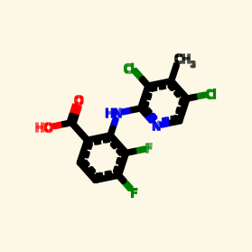 Cc1c(Cl)cnc(Nc2c(C(=O)O)ccc(F)c2F)c1Cl